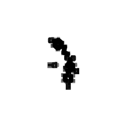 Cl.O=C(OCCCc1ccc(Cl)cc1)c1cnc(N2CCNCC2)c(Cl)c1